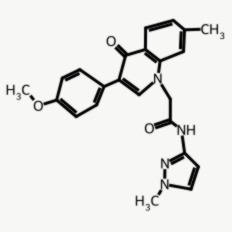 COc1ccc(-c2cn(CC(=O)Nc3ccn(C)n3)c3cc(C)ccc3c2=O)cc1